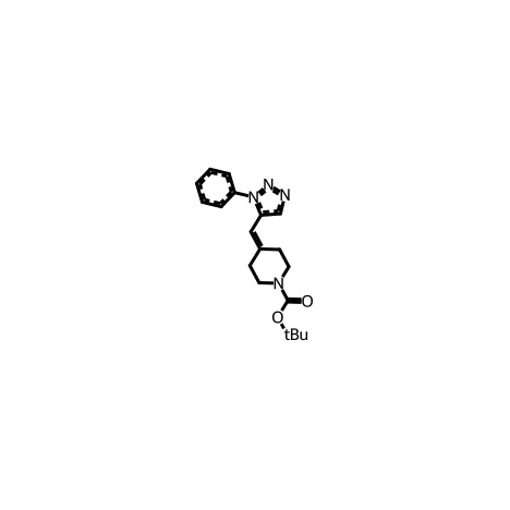 CC(C)(C)OC(=O)N1CCC(=Cc2cnnn2-c2ccccc2)CC1